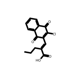 CCCC(=CC1=C(Cl)C(=O)c2ccccc2C1=O)C(=O)O